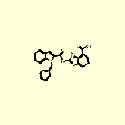 O=C(O)c1cccc2nc(NC(=O)c3cc4ccccc4n3Cc3ccccc3)[nH]c12